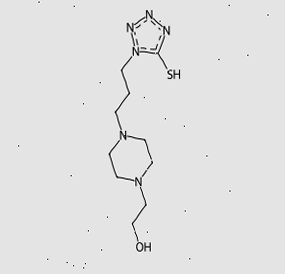 OCCN1CCN(CCCn2nnnc2S)CC1